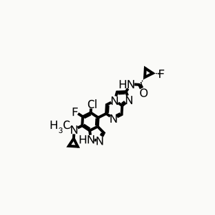 CN(c1c(F)c(Cl)c(-c2cn3cc(NC(=O)[C@@H]4C[C@@H]4F)nc3cn2)c2cn[nH]c12)C1CC1